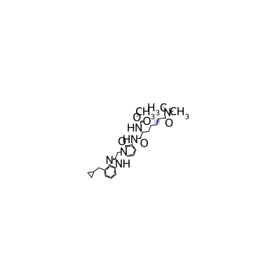 COC(=O)NC(CC/C=C/C(=O)N(C)C)C(=O)Nc1cccn(Cc2nc3c(CC4CC4)cccc3[nH]2)c1=O